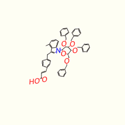 Cc1cccc2c1c(Cc1ccc(/C=C/C(=O)O)cc1)cn2[C@@H]1O[C@H](COCc2ccccc2)[C@@H](OCc2ccccc2)[C@H](OCc2ccccc2)[C@H]1OCc1ccccc1